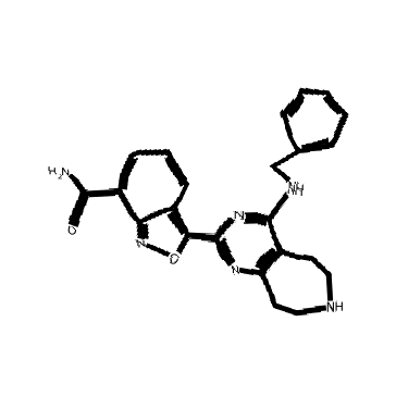 NC(=O)c1cccc2c(-c3nc4c(c(NCc5ccccc5)n3)CCNCC4)onc12